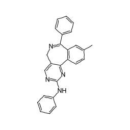 Cc1ccc2c(c1)C(c1ccccc1)=NCc1cnc(Nc3ccccc3)nc1-2